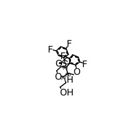 O=S(=O)(c1cc(F)cc(F)c1)[C@]12CCO[C@H](CCO)[C@H]1COc1c(F)ccc(F)c12